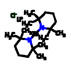 CC1(C)CCCC(C)(C)[N]1[Zn][N]1C(C)(C)CCCC1(C)C.[Cl-].[Li+]